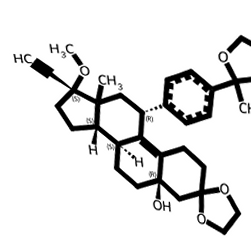 C#C[C@]1(OC)CC[C@H]2[C@@H]3CC[C@@]4(O)CC5(CCC4=C3[C@@H](c3ccc(C4(C)OCCO4)cc3)CC21C)OCCO5